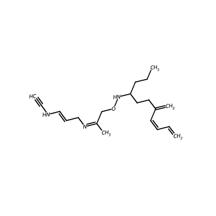 C#CN/C=C/C/N=C(/C)CONC(CCC)CCC(=C)/C=C\C=C